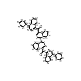 O=C(c1ccc(-c2ccc(C(=O)c3ncc(-c4ccccc4)c4ccccc34)c3ccccc23)c2ccccc12)c1ncc(-c2ccccc2)c2ccccc12